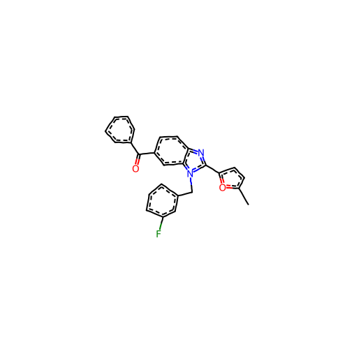 Cc1ccc(-c2nc3ccc(C(=O)c4ccccc4)cc3n2Cc2cccc(F)c2)o1